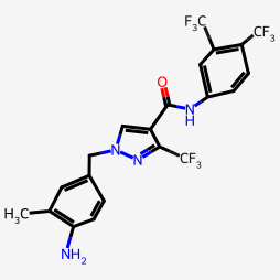 Cc1cc(Cn2cc(C(=O)Nc3ccc(C(F)(F)F)c(C(F)(F)F)c3)c(C(F)(F)F)n2)ccc1N